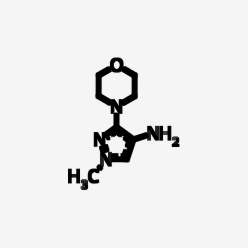 Cn1cc(N)c(N2CCOCC2)n1